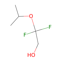 CC(C)OC(F)(F)CO